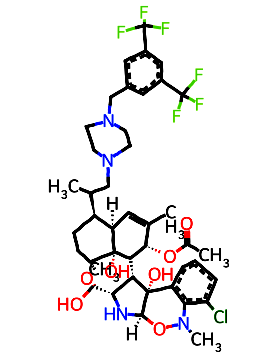 CC(=O)O[C@H]1C(C)=C[C@@H]2[C@H](C(C)CN3CCN(Cc4cc(C(F)(F)F)cc(C(F)(F)F)c4)CC3)CC[C@@H](C)[C@]2(O)C1[C@H]1[C@@H](C(=O)O)N[C@@H]2ON(C)c3c(Cl)cccc3[C@@]21O